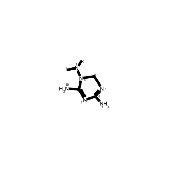 CN(C)N1CN=C(N)N=C1N